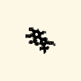 Cn1nc(-c2c(F)cc(Cl)c(O)c2[N+](=O)[O-])cc1C(F)(F)F